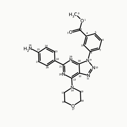 COC(=O)c1cccc(-n2nnc3c(N4CCOCC4)nc(-c4ccc(N)cc4)nc32)c1